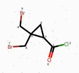 O=C(Cl)C1CC1(CBr)CBr